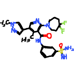 Cc1c(-c2cnn(C)c2)cnc(N2CCCC(F)(F)CC2)c1C(=O)Nc1cccc(S(=N)(N)=O)c1